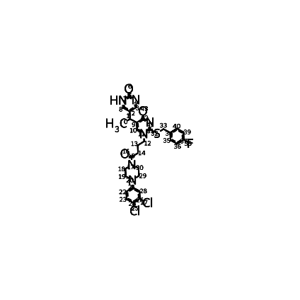 CC(c1cnc(=O)[nH]c1)c1cn(CCCC(=O)N2CCN(c3ccc(Cl)c(Cl)c3)CC2)c(SCc2ccc(F)cc2)nc1=O